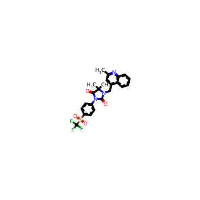 Cc1cc(CN2C(=O)N(c3ccc(S(=O)(=O)C(F)(F)F)cc3)C(=O)C2(C)C)c2ccccc2n1